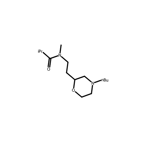 CCCCN1CCOC(CCN(C)C(=O)C(C)C)C1